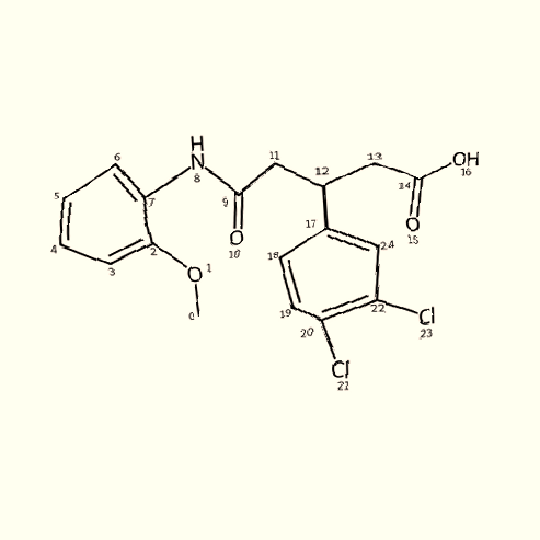 COc1ccccc1NC(=O)CC(CC(=O)O)c1ccc(Cl)c(Cl)c1